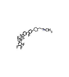 C/C=C/CCC1CCC(c2ccc(-c3ccc4nc(C(F)(F)Oc5cc(F)c(F)c(F)c5)sc4c3)c(F)c2)CC1